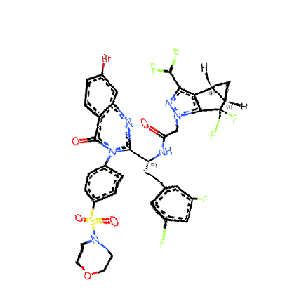 O=C(Cn1nc(C(F)F)c2c1C(F)(F)[C@H]1C[C@@H]21)N[C@H](Cc1cc(F)cc(F)c1)c1nc2cc(Br)ccc2c(=O)n1-c1ccc(S(=O)(=O)N2CCOCC2)cc1